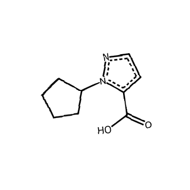 O=C(O)c1ccnn1C1CCCC1